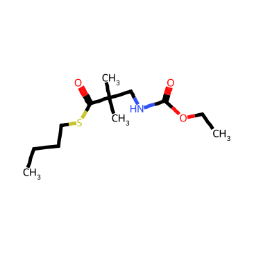 CCCCSC(=O)C(C)(C)CNC(=O)OCC